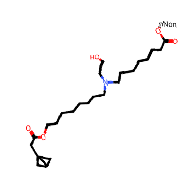 CCCCCCCCCOC(=O)CCCCCCCN(CCO)CCCCCCCCOC(=O)CC12CC(C1)C2